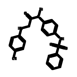 CCN(C(=O)CNc1ccc(C#N)cc1)c1ccc(NS(=O)(=O)c2ccccc2)cc1